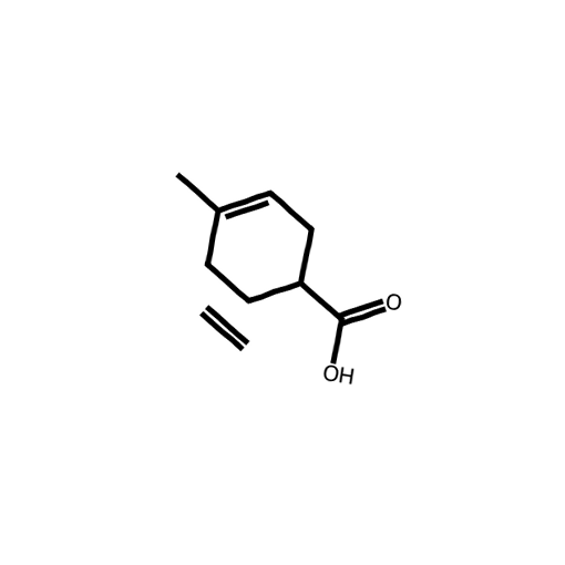 C=C.CC1=CCC(C(=O)O)CC1